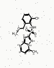 COCc1cccc(Cl)c1NS(=O)(=O)c1nc2nccc(C)n2n1